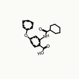 O=C(O)c1ccc(Oc2ccccc2)cc1NC(=O)C1CCCCC1